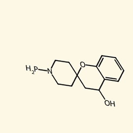 OC1CC2(CCN(P)CC2)Oc2ccccc21